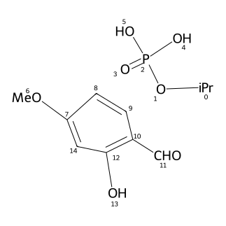 CC(C)OP(=O)(O)O.COc1ccc(C=O)c(O)c1